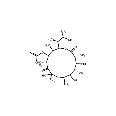 CC(=O)O[C@H]1[C@@H](C)[C@@H]([C@@H](C)[C@H](C)O)OC(=O)[C@H](C)[C@@H](O)[C@H](C)[C@@H](O)[C@@H](C)C[C@](C)(O)C(=O)[C@@H]1C